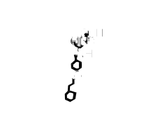 CS(=O)(=O)NCC(CO)NCc1ccc(OCCCc2ccccc2)cc1